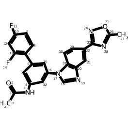 CC(=O)Nc1cc(-c2ccc(F)cc2F)cc(-n2cnc3cc(-c4noc(C)n4)ccc32)c1